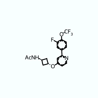 CC(=O)N[C@H]1C[C@H](Oc2ccnc(-c3ccc(OC(F)(F)F)c(F)c3)c2)C1